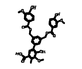 COc1cc(C(=O)OCc2cc(COC(=O)c3ccc(O)c(OC)c3)cc(-c3cc(C(=O)O)c(C)c(OC)c3O)c2)ccc1O